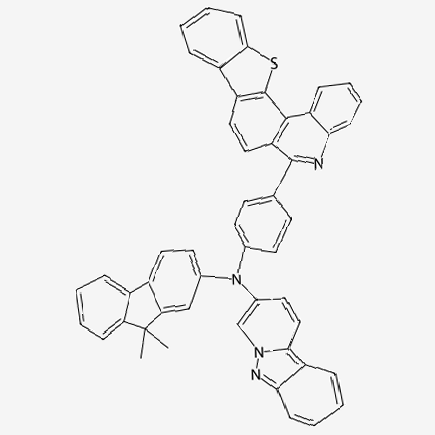 CC1(C)c2ccccc2-c2ccc(N(c3ccc(-c4nc5ccccc5c5c4ccc4c6ccccc6sc45)cc3)c3ccc4c5ccccc5nn4c3)cc21